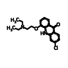 CCN(CC)CCOc1cccc2c(=O)c3ccc(Cl)cc3[nH]c12